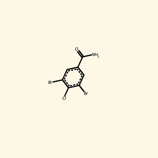 NC(=O)c1cc(Br)c(Cl)c(Br)c1